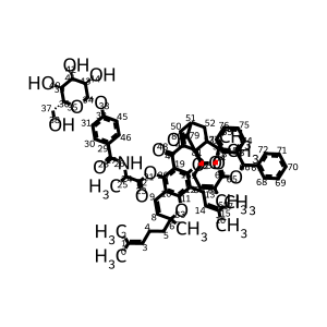 CC(C)=CCCC1(C)C=Cc2c(c(CC=C(C)C)c3c(c2OC(=O)C(C)NC(=O)c2ccc(O[C@@H]4O[C@H](CO)[C@@H](O)[C@@H](O)[C@H]4O)cc2)C(=O)C2=CC4CC5C(C)(C)OC(C/C=C(/C)C(=O)OC(c6ccccc6)c6ccccc6)(C4=O)C25O3)O1